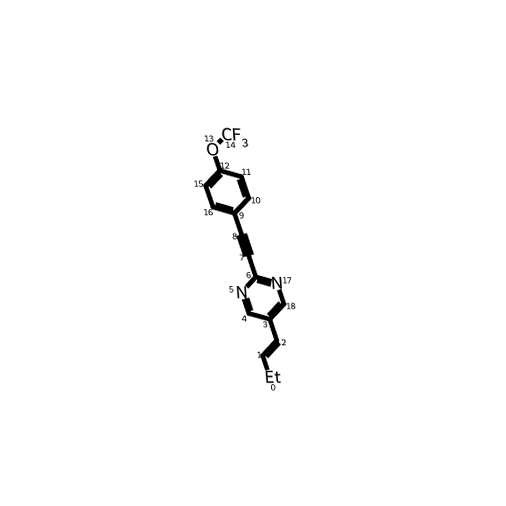 CCC=Cc1cnc(C#Cc2ccc(OC(F)(F)F)cc2)nc1